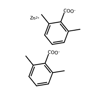 Cc1cccc(C)c1C(=O)[O-].Cc1cccc(C)c1C(=O)[O-].[Zn+2]